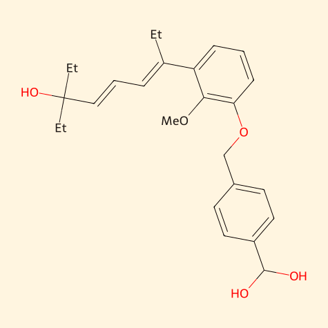 CCC(=CC=CC(O)(CC)CC)c1cccc(OCc2ccc(C(O)O)cc2)c1OC